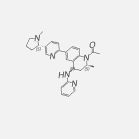 CC(=O)N1c2ccc(-c3ccc([C@@H]4CCCN4C)cn3)cc2[C@H](Nc2ccccn2)C[C@@H]1C